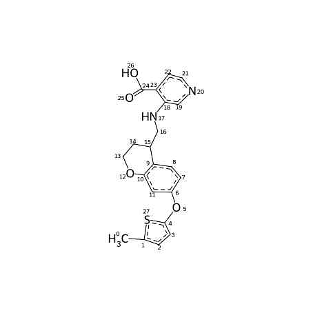 Cc1ccc(Oc2ccc3c(c2)OCCC3CNc2cnccc2C(=O)O)s1